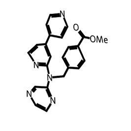 COC(=O)c1ccc(CN(c2cnccn2)c2cc(-c3ccncc3)ccn2)cc1